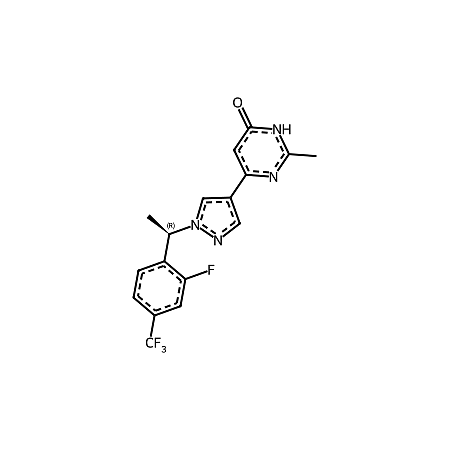 Cc1nc(-c2cnn([C@H](C)c3ccc(C(F)(F)F)cc3F)c2)cc(=O)[nH]1